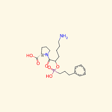 NCCCCC(OP(=O)(O)CCCc1ccccc1)C(=O)N1CCC[C@H]1C(=O)O